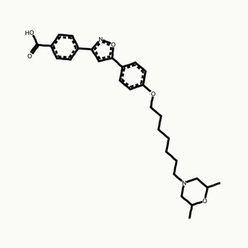 CC1CN(CCCCCCCOc2ccc(-c3cc(-c4ccc(C(=O)O)cc4)no3)cc2)CC(C)O1